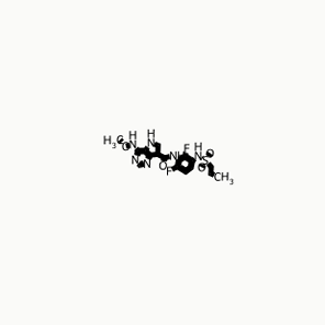 CCCS(=O)(=O)Nc1ccc(F)c(NC(=O)C2CNc3c(NOC)ncnc32)c1F